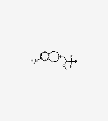 COC(CN1CCc2ccc(N)cc2CC1)C(F)(F)F